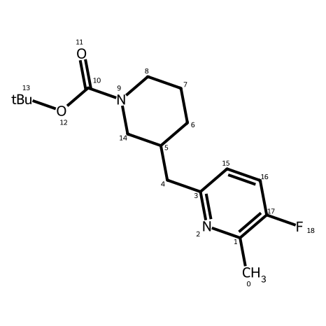 Cc1nc(CC2CCCN(C(=O)OC(C)(C)C)C2)ccc1F